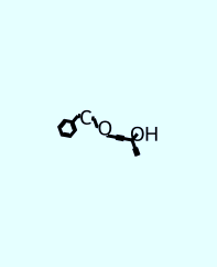 C#CC(O)C#CCOCC=C=Cc1ccccc1